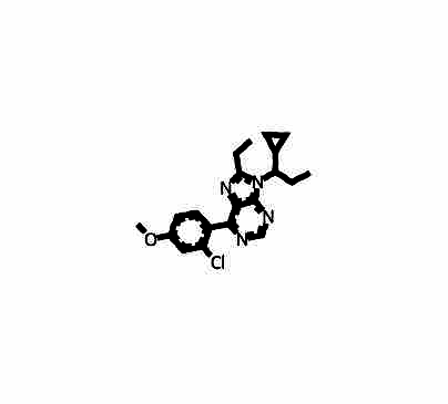 CCc1nc2c(-c3ccc(OC)cc3Cl)ncnc2n1C(CC)C1CC1